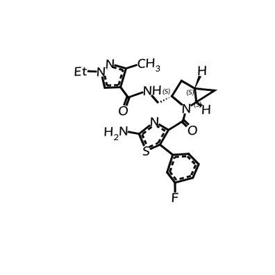 CCn1cc(C(=O)NC[C@@H]2C[C@@H]3C[C@@H]3N2C(=O)c2nc(N)sc2-c2cccc(F)c2)c(C)n1